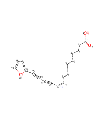 O=C(O)CCCCCCC/C=C\C#CC#Cc1ccco1